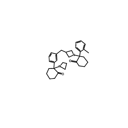 Cc1ccccc1C1(N2CC(Cc3cccc(C4(N5CCC5)CCCCC4=O)c3)C2)CCCCC1=O